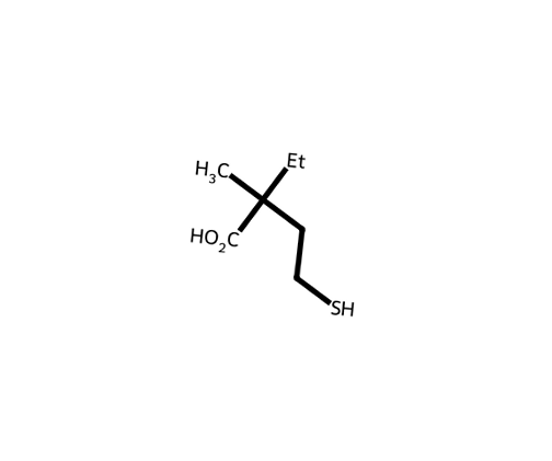 CCC(C)(CCS)C(=O)O